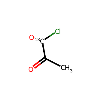 CC(=O)[13C](=O)Cl